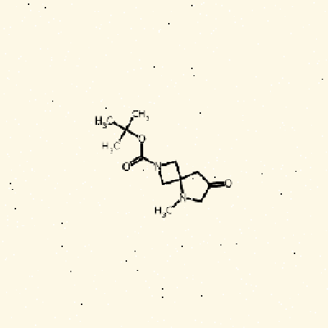 CN1CC(=O)CC12CN(C(=O)OC(C)(C)C)C2